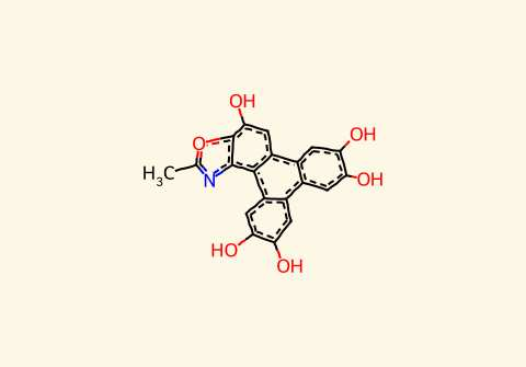 Cc1nc2c(o1)c(O)cc1c3cc(O)c(O)cc3c3cc(O)c(O)cc3c12